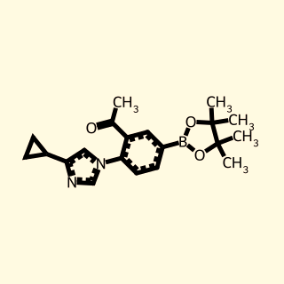 CC(=O)c1cc(B2OC(C)(C)C(C)(C)O2)ccc1-n1cnc(C2CC2)c1